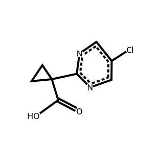 O=C(O)C1(c2ncc(Cl)cn2)CC1